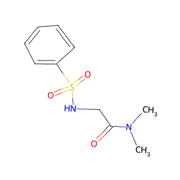 CN(C)C(=O)CNS(=O)(=O)c1ccccc1